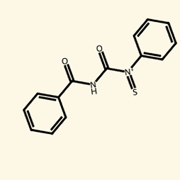 O=C(NC(=O)[N+](=S)c1ccccc1)c1ccccc1